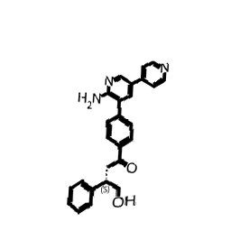 Nc1ncc(-c2ccncc2)cc1-c1ccc(C(=O)C[C@H](CO)c2ccccc2)cc1